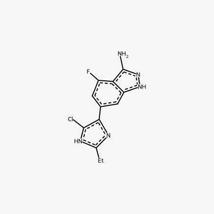 CCc1nc(-c2cc(F)c3c(N)n[nH]c3c2)c(Cl)[nH]1